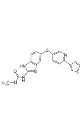 COC(=O)Nc1nc2cc(Sc3ccc(-c4ccsc4)nc3)ccc2[nH]1